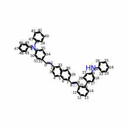 C(=C\c1ccc2cc(/C=C/c3ccccc3-c3ccc(Nc4ccccc4)cc3)ccc2c1)/c1ccc(N(c2ccccc2)c2ccccc2)cc1